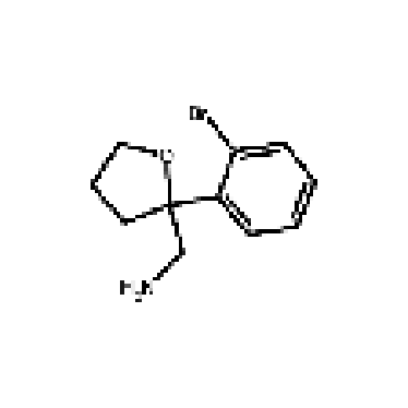 NCC1(c2ccccc2Br)CCCO1